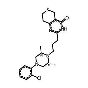 C[C@@H]1CN(c2ccccc2Cl)C[C@@H](C)N1CCCc1nc2c(c(=O)[nH]1)CSCC2